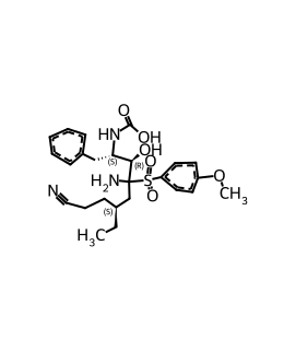 CC[C@@H](CCC#N)CC(N)([C@H](O)[C@H](Cc1ccccc1)NC(=O)O)S(=O)(=O)c1ccc(OC)cc1